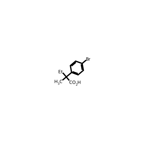 CCC(C)(C(=O)O)c1ccc(Br)cc1